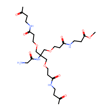 COC(=O)CCNC(=O)CCOCC(COCCC(=O)NCCC(C)=O)(COCCC(=O)NCCC(C)=O)NC(=O)CN